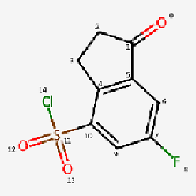 O=C1CCc2c1cc(F)cc2S(=O)(=O)Cl